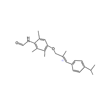 C/C(=C\c1ccc(C(C)C)cc1)COc1cc(C)c(NC=O)c(C)c1C